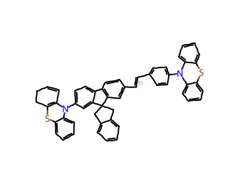 C1=CC2=C(CC1)Sc1ccccc1N2c1ccc2c(c1)C1(Cc3ccccc3C1)c1cc(/C=C/c3ccc(N4c5ccccc5Sc5ccccc54)cc3)ccc1-2